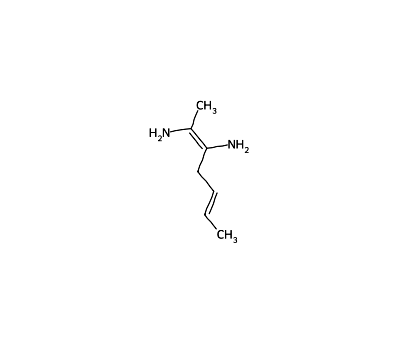 CC=CCC(N)=C(C)N